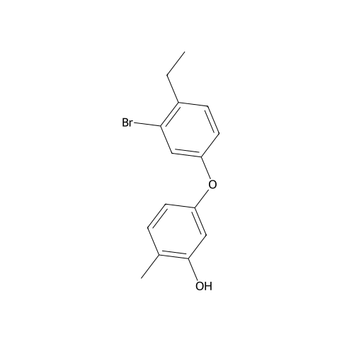 CCc1ccc(Oc2ccc(C)c(O)c2)cc1Br